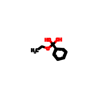 CCOC(O)(O)c1ccccc1